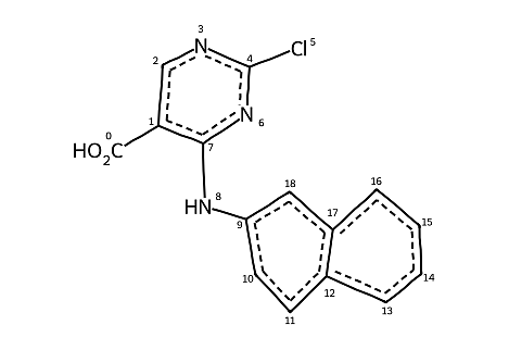 O=C(O)c1cnc(Cl)nc1Nc1ccc2ccccc2c1